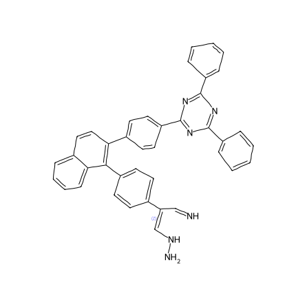 N=C/C(=C\NN)c1ccc(-c2c(-c3ccc(-c4nc(-c5ccccc5)nc(-c5ccccc5)n4)cc3)ccc3ccccc23)cc1